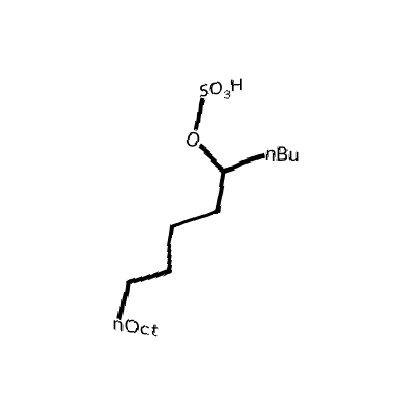 CCCCCCCCCCCCC(CCCC)OS(=O)(=O)O